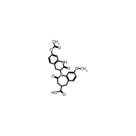 COc1ccc2c(c1)N(C1Cc3ccc(OC(C)=O)cc3NC1=O)C(=O)CC(C(=O)O)C2